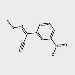 CO/N=C(\C#N)c1cccc([N+](=O)[O-])c1